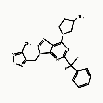 Cc1nonc1Cn1nnc2c(N3CCC(N)C3)nc(C(F)(F)c3ccccc3)nc21